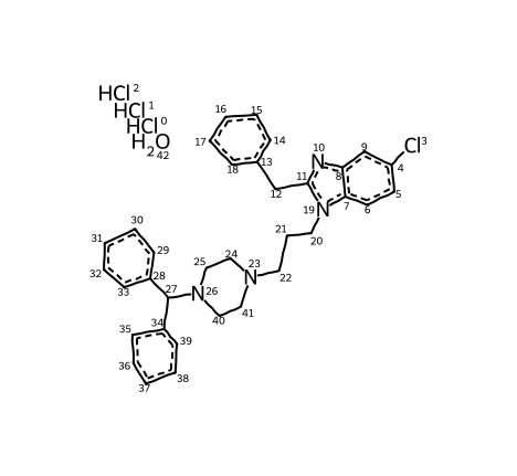 Cl.Cl.Cl.Clc1ccc2c(c1)nc(Cc1ccccc1)n2CCCN1CCN(C(c2ccccc2)c2ccccc2)CC1.O